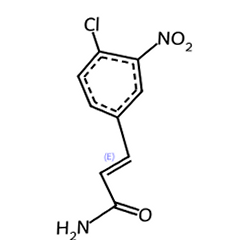 NC(=O)/C=C/c1ccc(Cl)c([N+](=O)[O-])c1